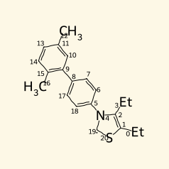 CCC1=C(CC)N(c2ccc(-c3cc(C)ccc3C)cc2)[CH]S1